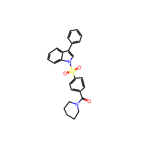 O=C(c1ccc(S(=O)(=O)n2cc(-c3ccccc3)c3ccccc32)cc1)N1CCCCC1